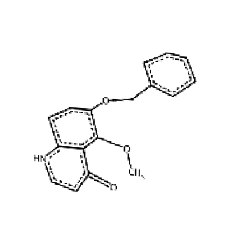 COc1c(OCc2ccccc2)ccc2[nH]ccc(=O)c12